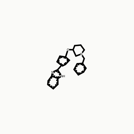 c1ccc(CN2CCCC(Oc3ccc(-c4nc5ccccc5[nH]4)cc3)C2)cc1